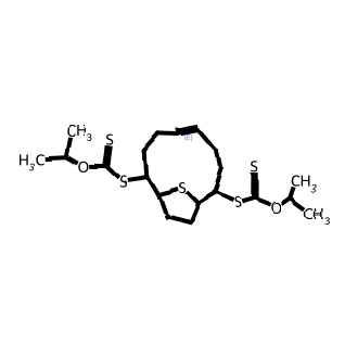 CC(C)OC(=S)SC1CC/C=C/CCC(SC(=S)OC(C)C)C2CCC1S2